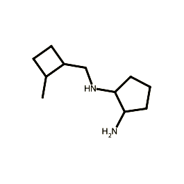 CC1CCC1CNC1CCCC1N